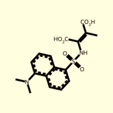 C/C(C(=O)O)=C(\NS(=O)(=O)c1cccc2c(N(C)C)cccc12)C(=O)O